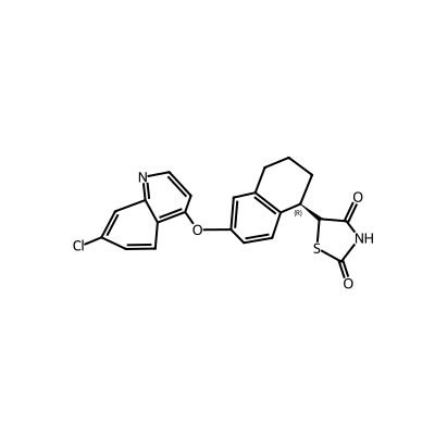 O=C1NC(=O)C([C@@H]2CCCc3cc(Oc4ccnc5cc(Cl)ccc45)ccc32)S1